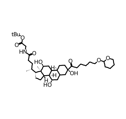 C[C@H](CCC(=O)NCC(=O)OC(C)(C)C)[C@H]1CC[C@H]2[C@@H]3[C@H](O)CC4C[C@@](O)(C(=O)CCCCCOC5CCCCO5)CC[C@]4(C)[C@H]3C[C@H](O)[C@]12C